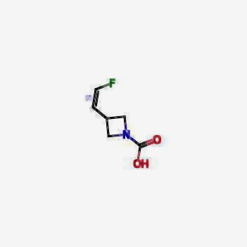 O=C(O)N1CC(/C=C\F)C1